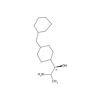 CC(N)[C@H](O)C1CCC(CC2CCCCC2)CC1